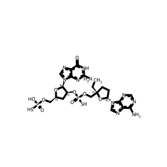 CC[C@@]1(COP(=O)(S)O[C@H]2C[C@@H](COP(=O)(O)S)O[C@H]2n2cnc3c(=O)[nH]c(N)nc32)CC[C@H](n2cnc3c(N)ncnc32)O1